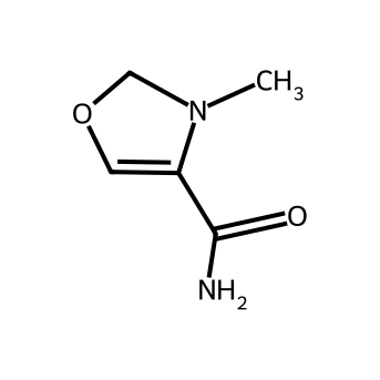 CN1COC=C1C(N)=O